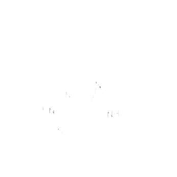 NC1(N2CCCCC2)C=NN=N1